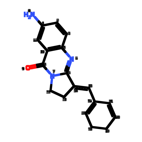 Nc1ccc2nc3n(c(=O)c2c1)CCC3=CC1=CCCC=C1